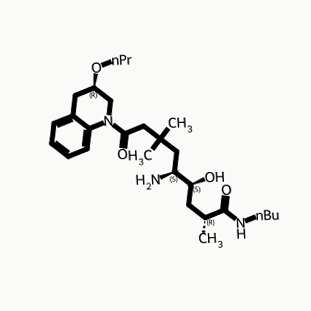 CCCCNC(=O)[C@H](C)C[C@H](O)[C@@H](N)CC(C)(C)CC(=O)N1C[C@H](OCCC)Cc2ccccc21